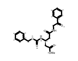 COC(=O)C[C@H](CC(=O)NCC(=O)c1ccccc1)NC(=O)OCc1ccccc1